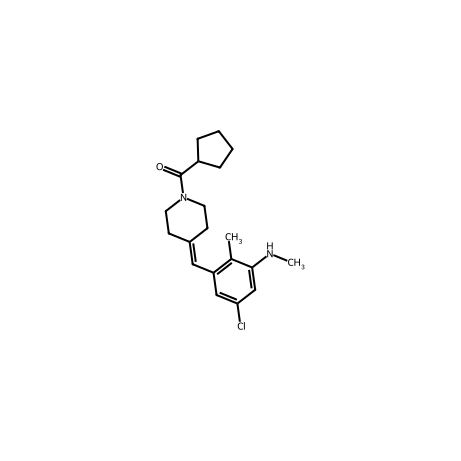 CNc1cc(Cl)cc(C=C2CCN(C(=O)C3CCCC3)CC2)c1C